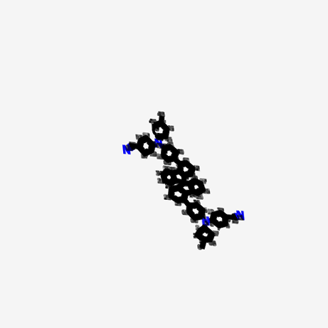 Cc1ccc(N(c2ccc(C#N)cc2)c2ccc(-c3cccc4c3-c3ccccc3C43c4ccccc4-c4c(-c5ccc(N(c6ccc(C)cc6)c6ccc(C#N)cc6)cc5)cccc43)cc2)cc1